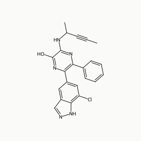 CC#CC(C)Nc1nc(-c2ccccc2)c(-c2cc(Cl)c3[nH]ncc3c2)nc1O